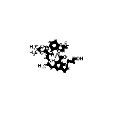 CC(Cc1cc2c(c(C(N)=O)c1)N(CCCO)CC2)NCC(Oc1ccccc1OCC(F)(F)F)C(=O)OC(C)(C)C